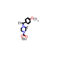 CCC(c1ccc(OC(F)(F)F)cc1)N1CCN(C(=O)OC(C)(C)C)C[C@@H]1C